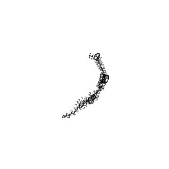 CCCCCCCCCCCCCCCCOc1ccc(C=Cc2ccc(S(=O)(=O)CCCCCCCCCCCO)cc2)cc1